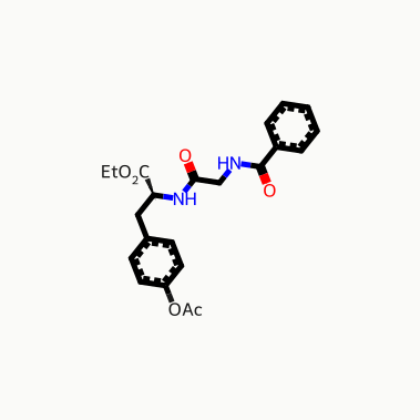 CCOC(=O)[C@H](Cc1ccc(OC(C)=O)cc1)NC(=O)CNC(=O)c1ccccc1